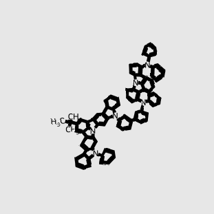 CC(C)(C)c1cc2c3cc4c5ccccc5n(-c5ccccc5)c4cc3n3c4cc5c(cc4c(c1)c23)c1ccccc1n5-c1cccc(-c2cccc(N(c3ccccc3)c3cccc4c3c3cccc5c6c(N(c7ccccc7)c7ccccc7)cccc6n4c53)c2)c1